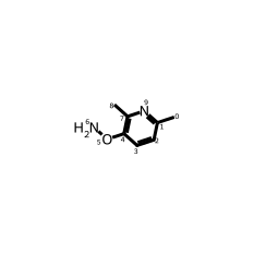 Cc1ccc(ON)c(C)n1